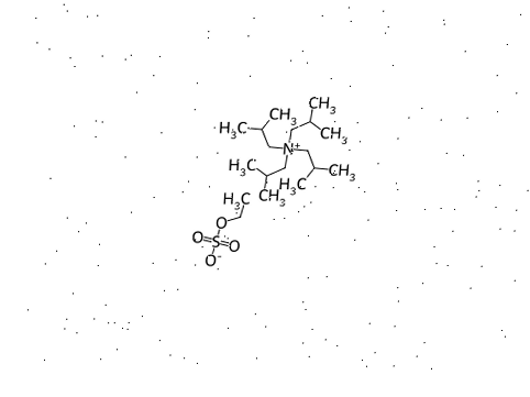 CC(C)C[N+](CC(C)C)(CC(C)C)CC(C)C.CCOS(=O)(=O)[O-]